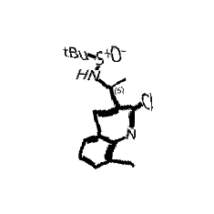 Cc1cccc2cc([C@H](C)N[S+]([O-])C(C)(C)C)c(Cl)nc12